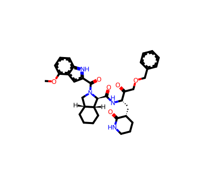 COc1cccc2[nH]c(C(=O)N3C[C@H]4CCCC[C@H]4[C@@H]3C(=O)N[C@@H](C[C@@H]3CCCNC3=O)C(=O)COCc3ccccc3)cc12